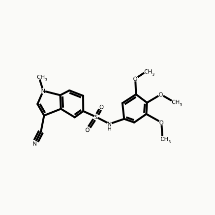 COc1cc(NS(=O)(=O)c2ccc3c(c2)c(C#N)cn3C)cc(OC)c1OC